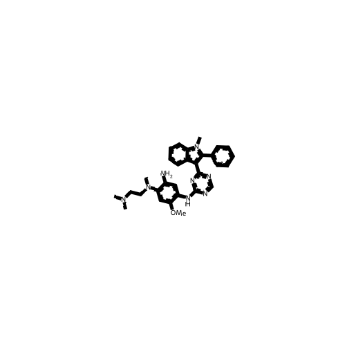 COc1cc(N(C)CCN(C)C)c(N)cc1Nc1ncnc(-c2c(-c3ccccc3)n(C)c3ccccc23)n1